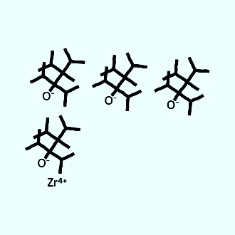 CC(C)C(C)(C(C)C)C([O-])(C(C)C)C(C)C.CC(C)C(C)(C(C)C)C([O-])(C(C)C)C(C)C.CC(C)C(C)(C(C)C)C([O-])(C(C)C)C(C)C.CC(C)C(C)(C(C)C)C([O-])(C(C)C)C(C)C.[Zr+4]